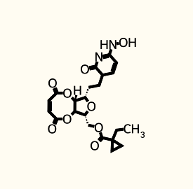 CCC1(C(=O)OC[C@H]2O[C@@H](CCC3C=CC(NO)=NC3=O)[C@H]3OC(=O)/C=C\C(=O)OC23)CC1